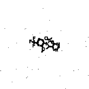 COc1cc(C(F)(F)F)ccc1N(C(C)c1cncnc1)S(C)(=O)=O